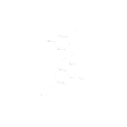 COc1nc(S(C)(=O)=O)cnc1NS(=O)(=O)c1cc(Cl)cc(Cl)c1